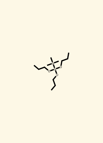 CCCO[Si](OCCC)(OCCC)[Si](C)(C)C